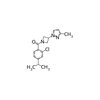 Cc1ccn(C2CN(C(=O)c3ccc(C(C)C)cc3Cl)C2)n1